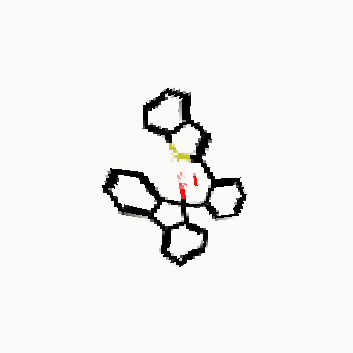 OC1(c2ccccc2-c2cc3ccccc3s2)c2ccccc2-c2ccccc21